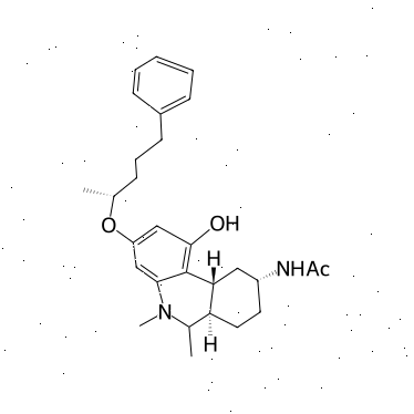 CC(=O)N[C@@H]1CC[C@H]2C(C)N(C)c3cc(O[C@H](C)CCCc4ccccc4)cc(O)c3[C@@H]2C1